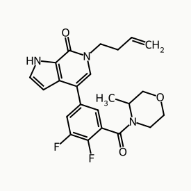 C=CCCn1cc(-c2cc(F)c(F)c(C(=O)N3CCOCC3C)c2)c2cc[nH]c2c1=O